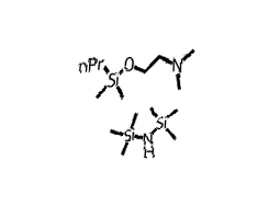 CCC[Si](C)(C)OCCN(C)C.C[Si](C)(C)N[Si](C)(C)C